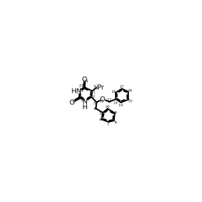 CC(C)c1c(C(Cc2ccccc2)OCc2ccccc2)[nH]c(=O)[nH]c1=O